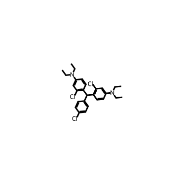 CCN(CC)c1ccc(C(c2ccc(Cl)cc2)c2ccc(N(CC)CC)cc2Cl)c(Cl)c1